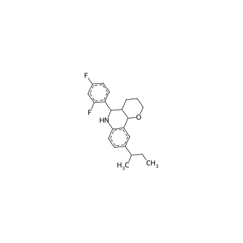 CCC(C)c1ccc2c(c1)C1OCCCC1C(c1ccc(F)cc1F)N2